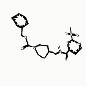 CS(=O)(=O)c1nccc(C(=O)NCC2CCN(C(=O)OCc3ccccc3)CC2)n1